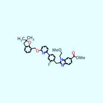 COCCn1c(Cc2ccc(-c3cccc(OCc4cccc5c4OC(C)(C)C5)n3)cc2F)nc2ccc(C(=O)OC)cc21